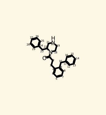 O=C(CCc1ccccc1Cc1ccccc1)N1CCNCC1Cc1ccccc1